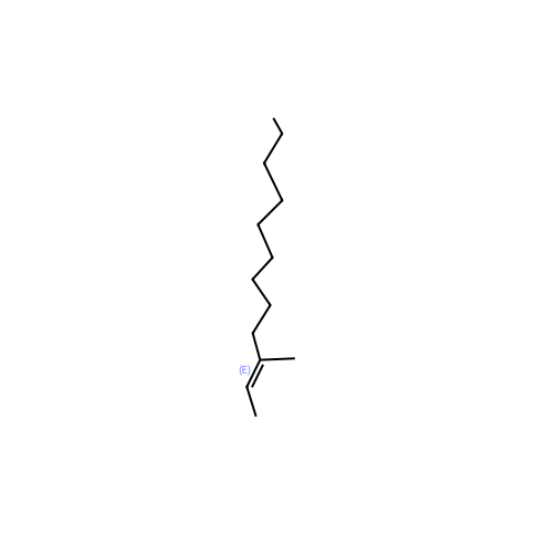 C/C=C(\C)CCCCCCCCC